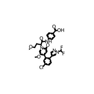 COCCC(C(=O)Nc1ccc(C(=O)O)cc1)n1cc(OC)c(-c2cc(Cl)ccc2-c2cnn(C(F)F)c2)cc1=O